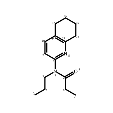 CCCN(C(=O)CC)c1ccc2c(n1)CCCC2